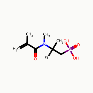 C=C(C)C(=O)N(C)C(C)(CC)CP(=O)(O)O